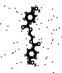 O=C(OCCOC(=O)c1ccc([N+](=O)[O-])cc1)c1ccc([N+](=O)[O-])cc1